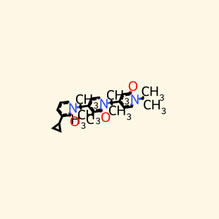 Cc1c(C(C)(C)n2cccc(C3CC3)c2=O)ccn(C(C)(C)c2ccn(C(C)C)c(=O)c2)c1=O